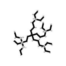 CCO[Si](CC)(CCC(CCCN(CC)CC)(CCCN(CC)CC)CCCN(CC)CC)OCC